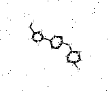 ClCc1noc(-c2ccc(Oc3ccc(Cl)cn3)cc2)n1